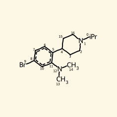 CC(C)N1CCC(c2ccc(Br)cc2N(C)C)CC1